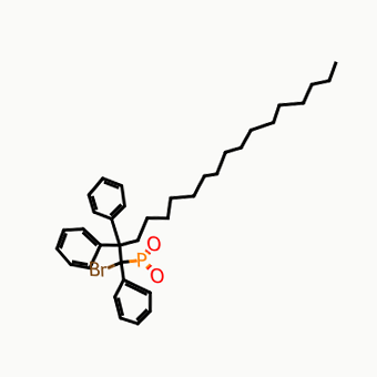 CCCCCCCCCCCCCCCCC(c1ccccc1)(c1ccccc1)C(Br)(c1ccccc1)P(=O)=O